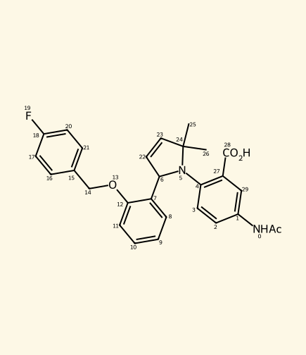 CC(=O)Nc1ccc(N2C(c3ccccc3OCc3ccc(F)cc3)C=CC2(C)C)c(C(=O)O)c1